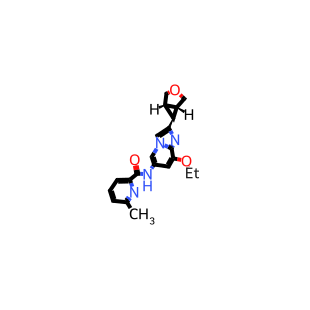 CCOc1cc(NC(=O)c2cccc(C)n2)cn2cc([C@H]3[C@@H]4COC[C@@H]43)nc12